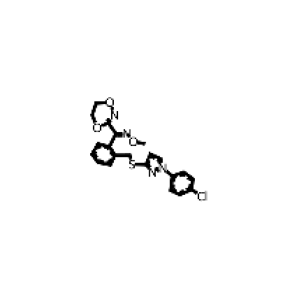 CON=C(C1=NOCCO1)c1ccccc1CSc1ccn(-c2ccc(Cl)cc2)n1